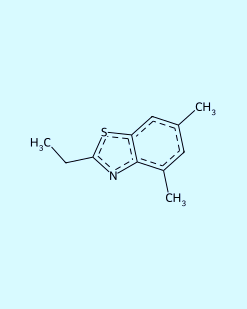 CCc1nc2c(C)cc(C)cc2s1